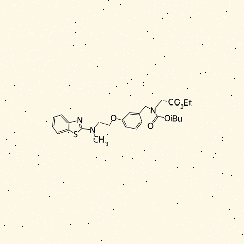 CCOC(=O)CN(Cc1cccc(OCCN(C)c2nc3ccccc3s2)c1)C(=O)OCC(C)C